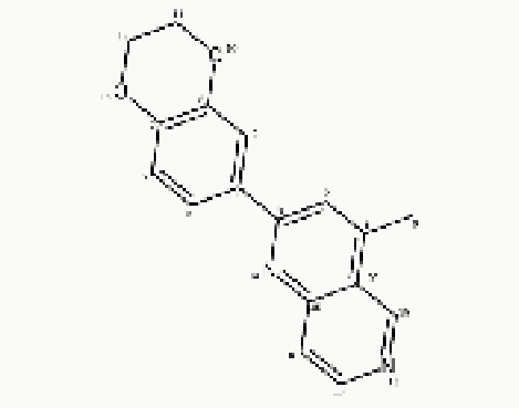 Cc1cc(-c2ccc3c(c2)OCCO3)nc2ccncc12